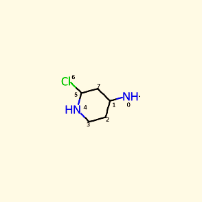 [NH]C1CCNC(Cl)C1